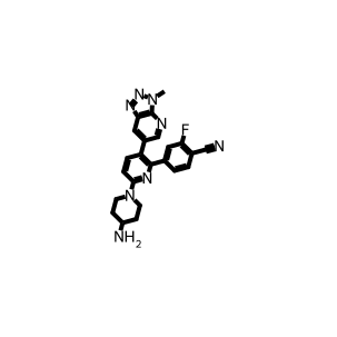 Cn1nnc2cc(-c3ccc(N4CCC(N)CC4)nc3-c3ccc(C#N)c(F)c3)cnc21